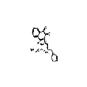 CC(C)c1nc2c(n1CCCN1CCCC1)C(=O)C(=O)c1ccccc1-2